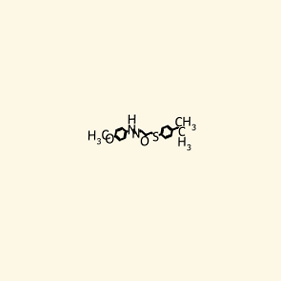 COc1ccc(NN=CC(=O)CSc2ccc(C(C)C)cc2)cc1